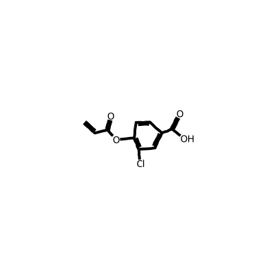 C=CC(=O)Oc1ccc(C(=O)O)cc1Cl